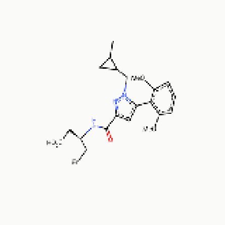 COc1cccc(OC)c1-c1cc(C(=O)N[C@H](CC(=O)O)CC(C)C)nn1CC1CC1C